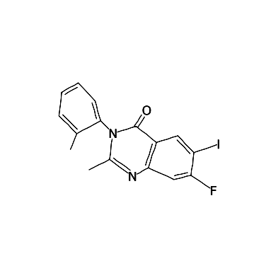 Cc1ccccc1-n1c(C)nc2cc(F)c(I)cc2c1=O